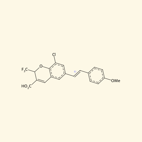 COc1ccc(/C=C/c2cc(Cl)c3c(c2)C=C(C(=O)O)C(C(F)(F)F)O3)cc1